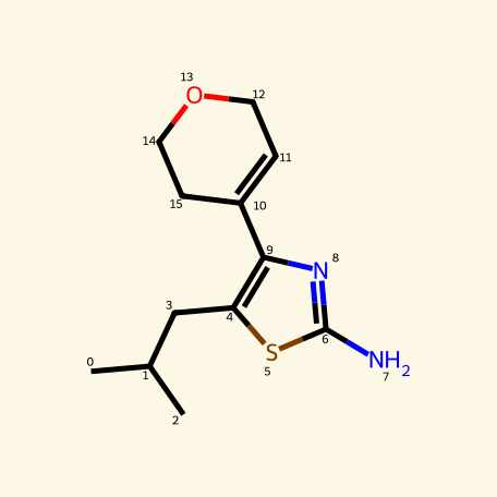 CC(C)Cc1sc(N)nc1C1=CCOCC1